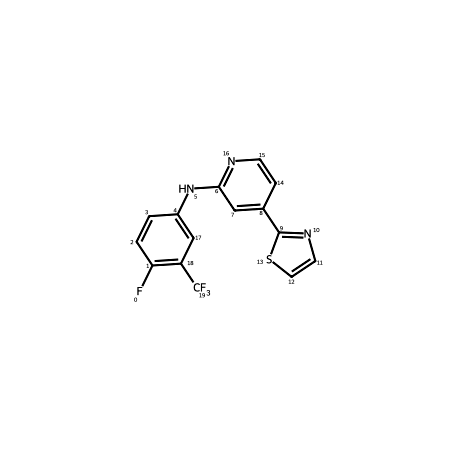 Fc1ccc(Nc2cc(-c3nccs3)ccn2)cc1C(F)(F)F